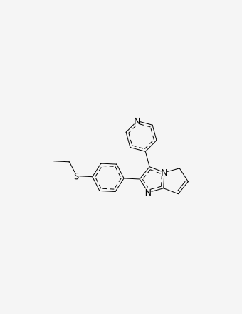 CCSc1ccc(-c2nc3n(c2-c2ccncc2)CC=C3)cc1